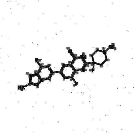 Cc1cn2cc(-c3cc(F)c4nc(C5(F)CCN(C)CC5)[nH]c(=O)c4c3)cc(F)c2n1